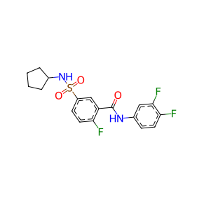 O=C(Nc1ccc(F)c(F)c1)c1cc(S(=O)(=O)NC2CCCC2)ccc1F